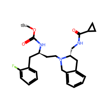 CC(C)(C)OC(=O)N[C@@H](CCN1Cc2ccccc2C[C@H]1CNC(=O)C1CC1)Cc1ccccc1F